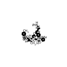 C=C[C@@H]1C[C@]1(NC(=O)[C@@H]1C[C@@H](Oc2cc(-c3csc(NC(C)C)n3)nc3cc(OC)ccc23)CN1C(=O)[C@@H](NC(=O)OC1CCCC1)C(C)(C)C)C(=O)NS(=O)(=O)Oc1ccc(C)cc1